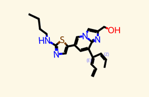 C=C/C=C(\C=C/C)c1cc(-c2cnc(NCCCC)s2)cn2cc(CO)nc12